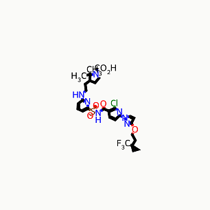 CC1(C)C(CCNc2cccc(S(=O)(=O)NC(=O)c3ccc(-n4ccc(OCCC5(C(F)(F)F)CC5)n4)nc3Cl)n2)CCN1C(=O)O